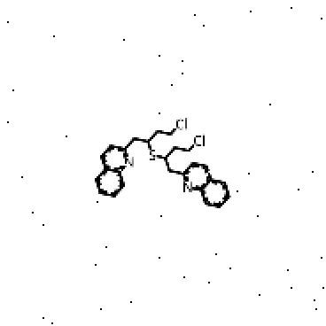 ClCCC(Cc1ccc2ccccc2n1)SC(CCCl)Cc1ccc2ccccc2n1